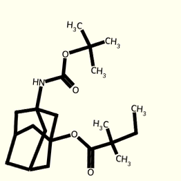 CCC(C)(C)C(=O)OC12CC3CC(CC(NC(=O)OC(C)(C)C)(C3)C1)C2